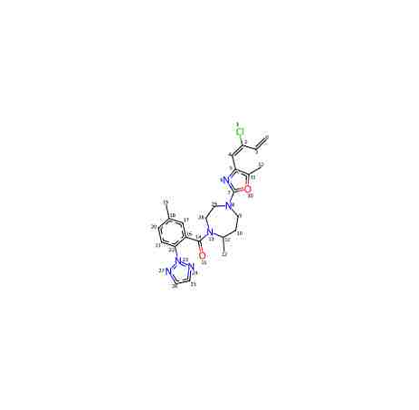 C=C/C(Cl)=C\c1nc(N2CCC(C)N(C(=O)c3cc(C)ccc3-n3nccn3)CC2)oc1C